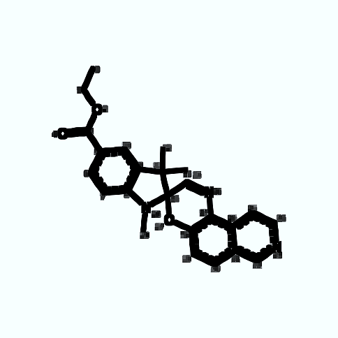 CCOC(=O)c1ccc2c(c1)C(C)(C)C1(C=Nc3c(ccc4cnccc34)O1)N2C